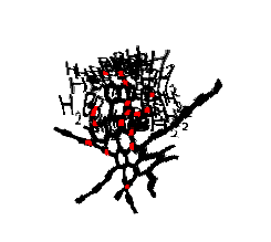 BBB(B)B(B(B)B)c1c(B(B(B)B)B(B)B)c(B(BB)B(B)B)c(B(B)B(B)B)c2c(-c3c4c(C)c(C)c(C)c(C)c4c(-c4c(C#CC#CC#CC)c(C#CC#CC#C)c(C#CC#CC)c5c4c(C#CC#CC#CC#CC)c(C#CC#CC#CC#CC#C)c4c(C)c(C)c(C#CC)c(C#CC#C)c45)c4c(C)c(C)c(C)c(C)c34)c(B(B)B)c(BB)c(B)c12